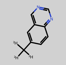 [2H]C([2H])([2H])c1ccc2ncncc2c1